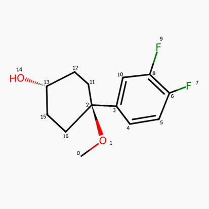 CO[C@]1(c2ccc(F)c(F)c2)CC[C@@H](O)CC1